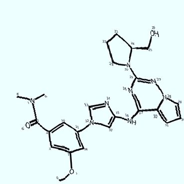 COc1cc(C(=O)N(C)C)cc(-n2cnc(Nc3nc(N4CCC[C@H]4CO)nn4cccc34)c2)c1